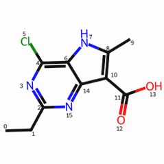 CCc1nc(Cl)c2[nH]c(C)c(C(=O)O)c2n1